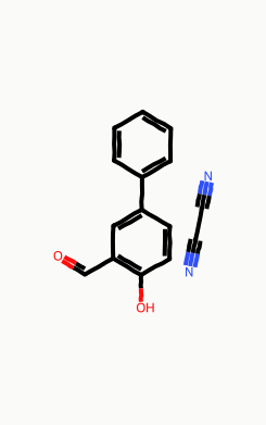 N#CC#N.O=Cc1cc(-c2ccccc2)ccc1O